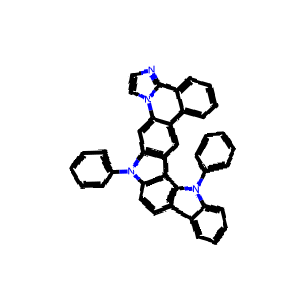 c1ccc(-n2c3cc4c(cc3c3c2ccc2c5ccccc5n(-c5ccccc5)c23)c2ccccc2c2nccn42)cc1